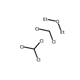 CCOCC.ClC(Cl)Cl.ClCCl